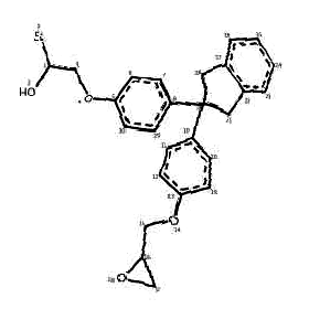 CCC(O)COc1ccc(C2(c3ccc(OCC4CO4)cc3)Cc3ccccc3C2)cc1